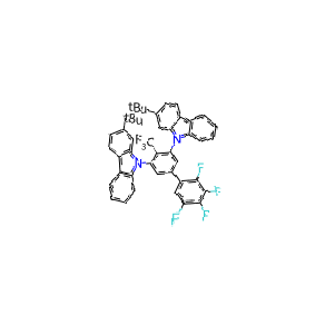 CC(C)(C)c1ccc2c3ccccc3n(-c3cc(-c4cc(F)c(F)c(F)c4F)cc(-n4c5ccccc5c5ccc(C(C)(C)C)cc54)c3C(F)(F)F)c2c1